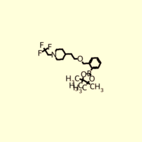 CC1(C)OB(c2ccccc2COCCC2CCN(CC(F)(F)F)CC2)OC1(C)C